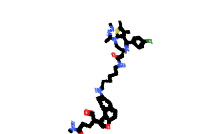 C=N/N=C(/C)N1C[C@H](CC(=O)NCCCCCCNc2ccc3c(ccc4occ(C(C=O)CCC(=O)NC)c43)c2)N=C(c2ccc(Cl)cc2)c2c1sc(C)c2C